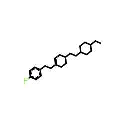 CCC1CCC(CCC2CC=C(CCc3ccc(F)cc3)CC2)CC1